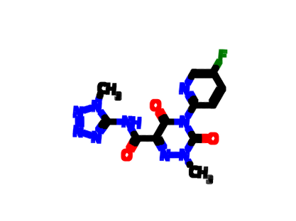 Cn1nnnc1NC(=O)c1nn(C)c(=O)n(-c2ccc(F)cn2)c1=O